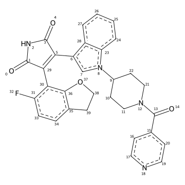 O=C1NC(=O)C(c2cn(C3CCN(C(=O)c4ccncc4)CC3)c3ccccc23)=C1c1c(F)ccc2c1OCC2